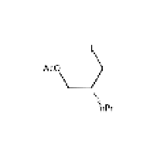 CCC[C@@H](CI)COC(C)=O